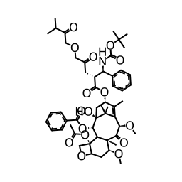 CO[C@H]1C(=O)[C@@]2(C)C([C@H](OC(=O)c3ccccc3)[C@]3(O)C[C@H](OC(=O)[C@H](CC(=O)COCC(=O)C(C)C)[C@@H](NC(=O)OC(C)(C)C)c4ccccc4)C(C)=C1C3(C)C)[C@]1(OC(C)=O)COC1C[C@@H]2OC